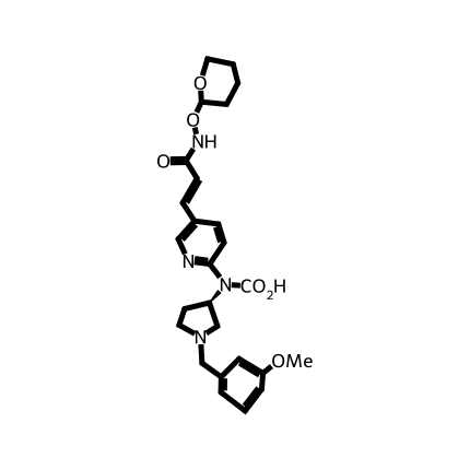 COc1cccc(CN2CC[C@@H](N(C(=O)O)c3ccc(/C=C/C(=O)NOC4CCCCO4)cn3)C2)c1